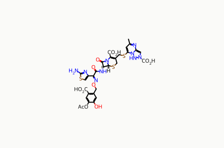 CC(=O)Oc1cc(C(=O)O)c(CON=C(C(=O)N[C@@H]2C(=O)N3C(C(=O)O)=C(CSC4=CC(C)=NC5=CN(C(=O)O)NN54)CS[C@H]23)c2csc(N)n2)cc1O